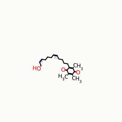 CC1=C(C)C(=O)C(CCCC/C=C\CCC/C=C\CO)=C(C)C1=O